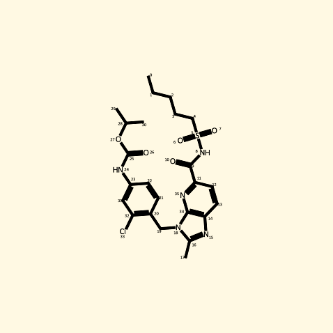 CCCCCS(=O)(=O)NC(=O)c1ccc2nc(C)n(Cc3ccc(NC(=O)OC(C)C)cc3Cl)c2n1